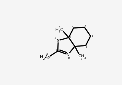 CC12CCCCC1(C)SC([AsH2])=N2